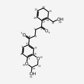 O=C(CCC(=O)c1ccc2c(c1)OCC(O)O2)C1=C(CO)CCC=C1